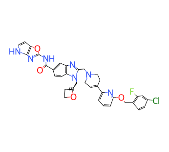 O=C(Nc1nc2[nH]ccc2o1)c1ccc2c(c1)nc(CN1CC=C(c3cccc(OCc4ccc(Cl)cc4F)n3)CC1)n2C[C@@H]1CCO1